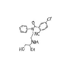 CCC(CO)NCCN(C(=O)c1cc(Cl)ccc1C#N)c1ccccc1